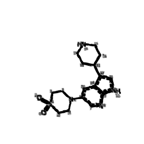 O=S1(=O)CCN(c2cnc3[nH]cc(C4CCNCC4)c3c2)CC1